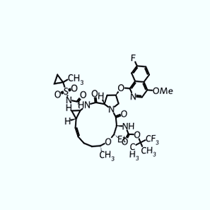 CC[C@@H]1O[C@H](C)CC/C=C\[C@@H]2C[C@@]2(C(=O)NS(=O)(=O)C2(C)CC2)NC(=O)[C@@H]2C[C@@H](Oc3ncc(OC)c4ccc(F)cc34)CN2C(=O)[C@H]1NC(=O)OC(C)(C)C(F)(F)F